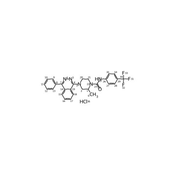 CC1CN(c2nnc(-c3ccccc3)c3ccccc23)CCN1C(=O)Nc1ccc(C(F)(F)F)cc1.Cl